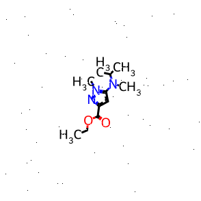 CCOC(=O)c1cc(N(C)C(C)C)n(C)n1